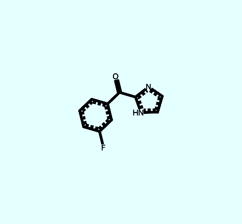 O=C(c1cccc(F)c1)c1ncc[nH]1